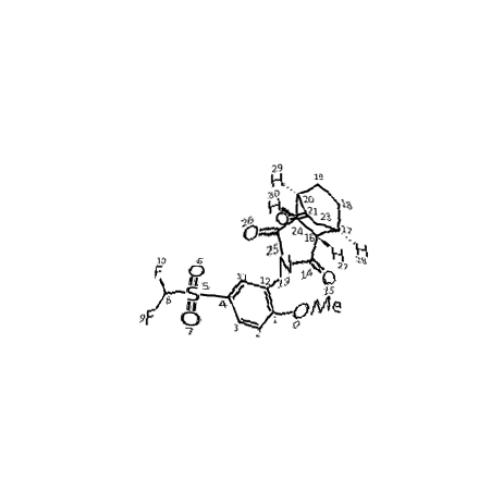 COc1ccc(S(=O)(=O)C(F)F)cc1N1C(=O)[C@H]2[C@@H]3CC[C@@H](C(=O)C3)[C@H]2C1=O